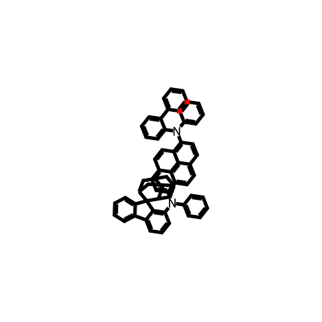 c1ccc(-c2ccccc2N(c2ccccc2)c2ccc3ccc4c(N(c5ccccc5)c5cccc6c5C5(c7ccccc7-6)C6CC7CC(C6)CC5C7)ccc5ccc2c3c54)cc1